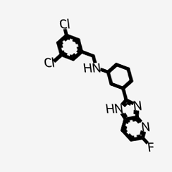 Fc1ccc2[nH]c(C3CCCC(NCc4cc(Cl)cc(Cl)c4)C3)nc2n1